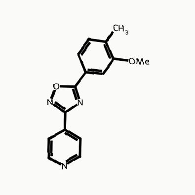 COc1cc(-c2nc(-c3ccncc3)no2)ccc1C